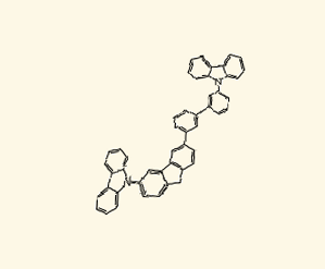 c1cc(-c2cccc(-n3c4ccccc4c4ccccc43)c2)cc(-c2ccc3c(c2)-c2cc(-n4c5ccccc5c5ccccc54)ccc2C3)c1